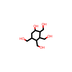 OCC1CC(O)C(CO)C(CO)C1CO